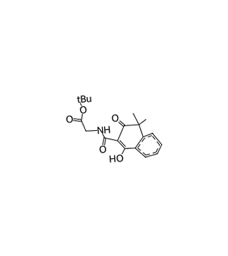 CC(C)(C)OC(=O)CNC(=O)C1=C(O)c2ccccc2C(C)(C)C1=O